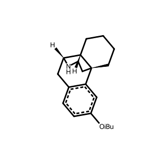 CC(C)[CH]Oc1ccc2c(c1)[C@@]13CCCC[C@H]1[C@@H](C2)NCC3